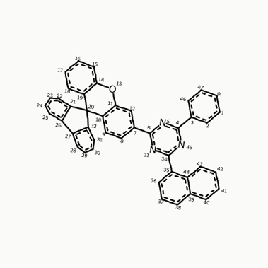 c1ccc(-c2nc(-c3ccc4c(c3)Oc3ccccc3C43c4ccccc4-c4ccccc43)nc(-c3cccc4ccccc34)n2)cc1